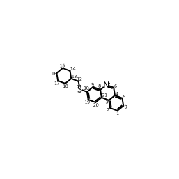 c1ccc2c(c1)cnc1cc(SCC3CCCCC3)ccc12